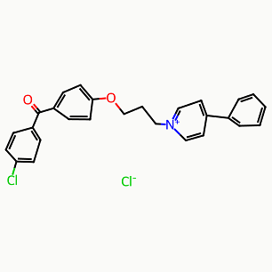 O=C(c1ccc(Cl)cc1)c1ccc(OCCC[n+]2ccc(-c3ccccc3)cc2)cc1.[Cl-]